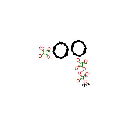 C1=CCCC=CCC1.C1=CCCC=CCC1.[O-][Cl+3]([O-])([O-])[O-].[O-][Cl+3]([O-])([O-])[O-].[O-][Cl+3]([O-])([O-])[O-].[Rh+3]